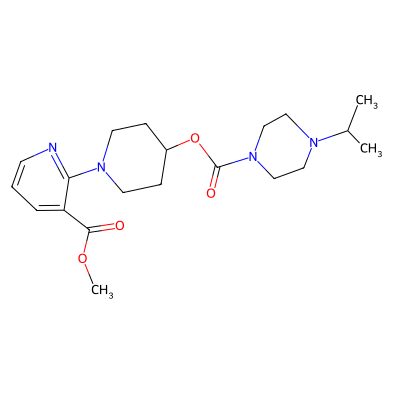 COC(=O)c1cccnc1N1CCC(OC(=O)N2CCN(C(C)C)CC2)CC1